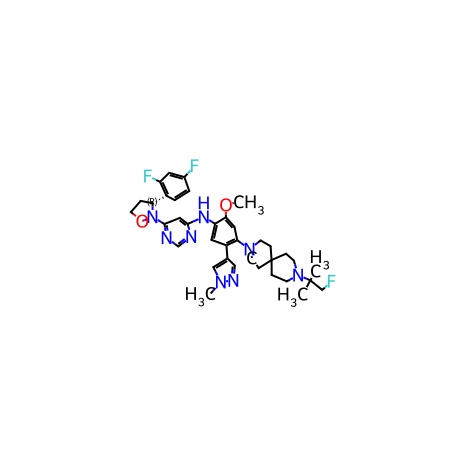 COc1cc(N2CCC3(CC2)CCN(C(C)(C)CF)CC3)c(-c2cnn(C)c2)cc1Nc1cc(N2OCC[C@@H]2c2ccc(F)cc2F)ncn1